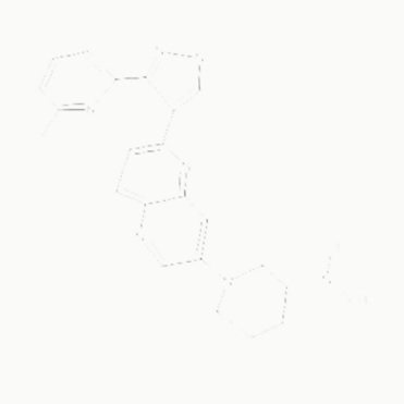 Cc1cccc(-c2n[nH]cc2-c2ccc3ncc(N4CCC[C@@H](N(C)C)C4)cc3n2)n1